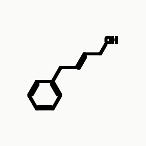 OCC=CCc1ccccc1